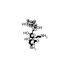 NC=CC[C@@]1(n2ccc(N)nc2=O)O[C@H](COP(=O)(O)OP(=O)(O)OP(=O)(O)O)[C@@H](O)[C@H]1O